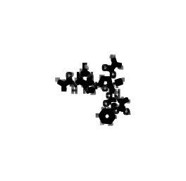 C#C[C@]1(COP(=O)(NC(C)C(=O)O)Oc2ccccc2)O[C@@H](n2cnc3c(NC(=O)C(C)C)nc(F)nc32)C[C@@H]1OC(=O)C(C)C